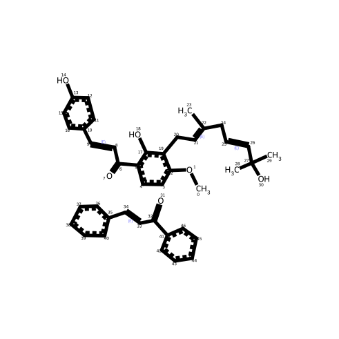 COc1ccc(C(=O)/C=C/c2ccc(O)cc2)c(O)c1C/C=C(\C)C/C=C/C(C)(C)O.O=C(/C=C/c1ccccc1)c1ccccc1